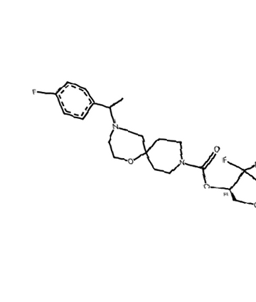 CC(c1ccc(F)cc1)N1CCOC2(CCN(C(=O)O[C@H](CO)C(F)(F)F)CC2)C1